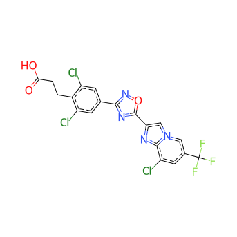 O=C(O)CCc1c(Cl)cc(-c2noc(-c3cn4cc(C(F)(F)F)cc(Cl)c4n3)n2)cc1Cl